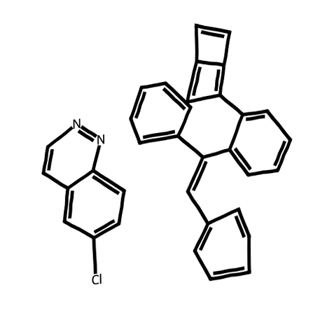 C(=C(c1ccccc1)c1ccccc1-c1cc2ccc1-2)c1ccccc1.Clc1ccc2nnccc2c1